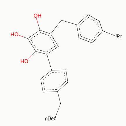 CCCCCCCCCCCc1ccc(-c2cc(Cc3ccc(C(C)C)cc3)c(O)c(O)c2O)cc1